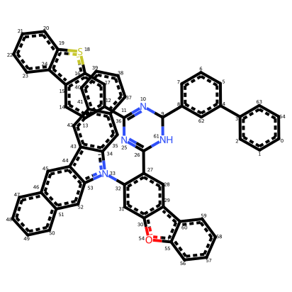 c1ccc(-c2cccc(C3N=C(c4ccc5c(c4)sc4ccccc45)N=C(c4cc5c(cc4-n4c6cc7ccccc7cc6c6cc7ccccc7cc64)oc4ccccc45)N3)c2)cc1